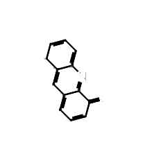 C=c1cccc2cc3c(nc12)=CC=CC3